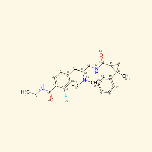 CCNC(=O)c1ccc(C[C@@H](CNC(=O)C2CC2(C)c2ccccc2)N(C)C)cc1F